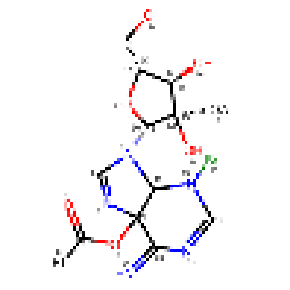 CCC(=O)OC12N=CN([C@@H]3O[C@H](CO)[C@@H](O)[C@]3(O)OC(C)=O)C1N(Br)C=NC2=N